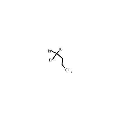 [CH2]CCC(Br)(Br)Br